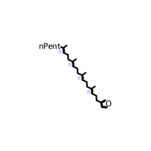 CCCCC/C(C)=C/CC/C(C)=C/CC/C(C)=C/CC/C(C)=C/CCc1ccoc1